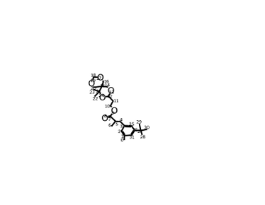 Cc1cc(CC(C)C(=O)OCCC2OCC3(COCOC3)C(C)(C)O2)cc(C(C)(C)C)c1